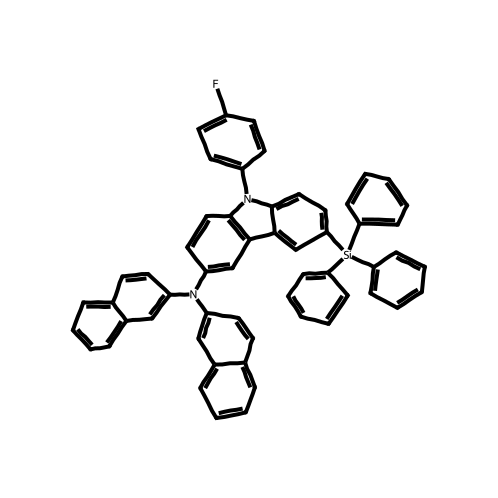 Fc1ccc(-n2c3ccc(N(c4ccc5ccccc5c4)c4ccc5ccccc5c4)cc3c3cc([Si](c4ccccc4)(c4ccccc4)c4ccccc4)ccc32)cc1